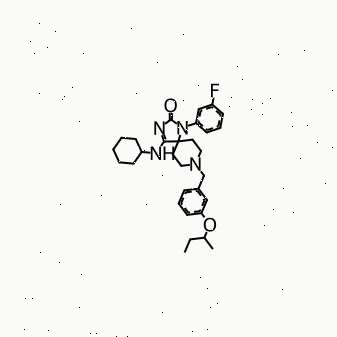 CCC(C)Oc1cccc(CN2CCC3(CC2)C(NC2CCCCC2)=NC(=O)N3c2cccc(F)c2)c1